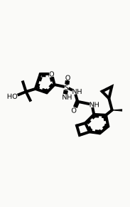 C[C@@H](c1ccc2c(c1NC(=O)NS(=N)(=O)c1cc(C(C)(C)O)co1)CC2)C1CC1